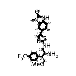 COC[C@@H](c1ccc(C(F)(F)F)cc1)[C@@H](N)CNc1ncc(-c2ccc3[nH]c(=O)n(C)c3c2)s1